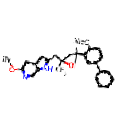 COc1ccc(-c2ccccc2)cc1C(C)(C)CC(O)(Cc1cc2cc(OC(C)C)ncc2[nH]1)C(F)(F)F